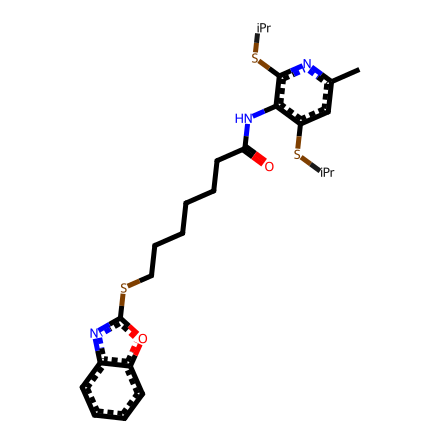 Cc1cc(SC(C)C)c(NC(=O)CCCCCCSc2nc3ccccc3o2)c(SC(C)C)n1